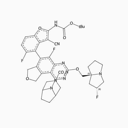 CC(C)(C)OC(=O)Nc1oc2ccc(F)c(-c3c4c(c5c(N6C7CCC6CN(C(=O)O)C7)nc(OC[C@@]67CCCN6C[C@H](F)C7)nc5c3F)COC4)c2c1C#N